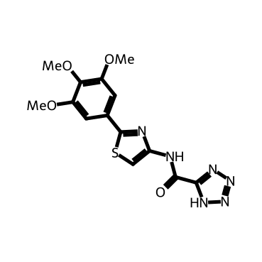 COc1cc(-c2nc(NC(=O)c3nnn[nH]3)cs2)cc(OC)c1OC